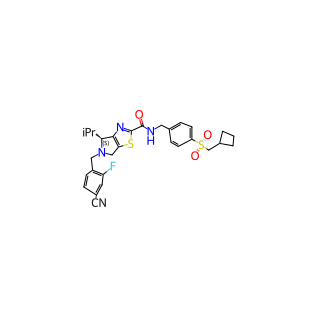 CC(C)[C@H]1c2nc(C(=O)NCc3ccc(S(=O)(=O)CC4CCC4)cc3)sc2CN1Cc1ccc(C#N)cc1F